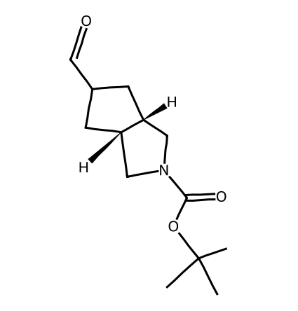 CC(C)(C)OC(=O)N1C[C@H]2CC(C=O)C[C@H]2C1